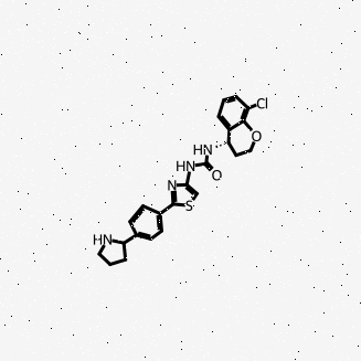 O=C(Nc1csc(-c2ccc(C3CCCN3)cc2)n1)N[C@H]1CCOc2c(Cl)cccc21